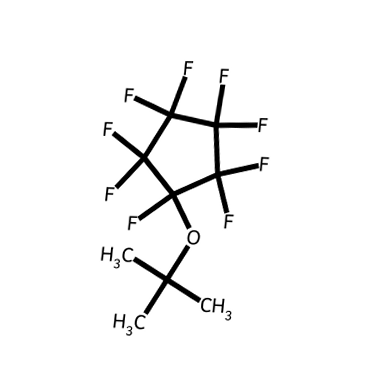 CC(C)(C)OC1(F)C(F)(F)C(F)(F)C(F)(F)C1(F)F